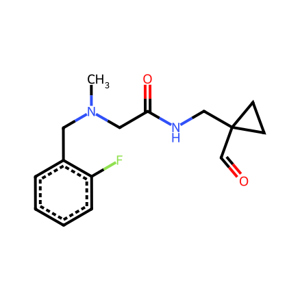 CN(CC(=O)NCC1(C=O)CC1)Cc1ccccc1F